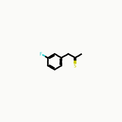 CC(=S)Cc1cccc(F)c1